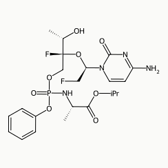 CC(C)OC(=O)[C@H](C)NP(=O)(OC[C@@](F)(O[C@H](CF)n1ccc(N)nc1=O)[C@H](C)O)Oc1ccccc1